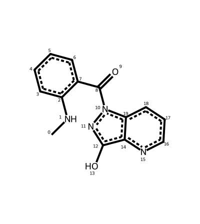 CNc1ccccc1C(=O)n1nc(O)c2ncccc21